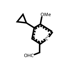 COc1ccc(CC=O)cc1C1CC1